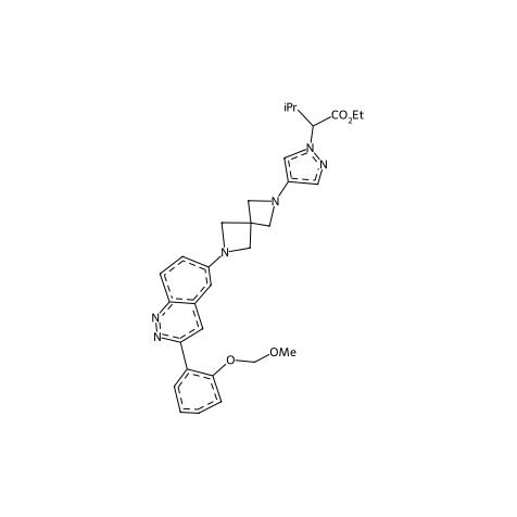 CCOC(=O)C(C(C)C)n1cc(N2CC3(CN(c4ccc5nnc(-c6ccccc6OCOC)cc5c4)C3)C2)cn1